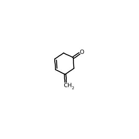 C=C1C=CCC(=O)C1